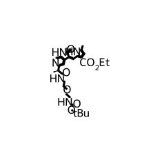 CCOC(=O)c1cc(C)[nH]c1/C=C1\C(=O)Nc2cnc([C@H](C)C(=O)NCCOCCNC(=O)OC(C)(C)C)cc21